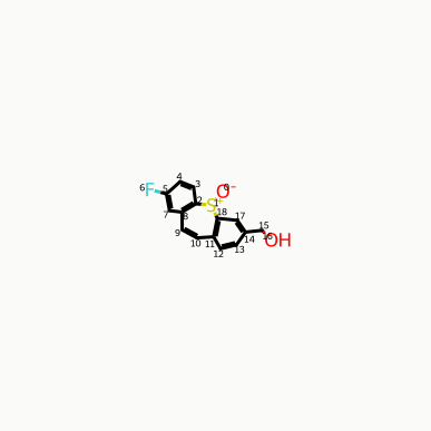 [O-][S+]1c2ccc(F)cc2C=Cc2ccc(CO)cc21